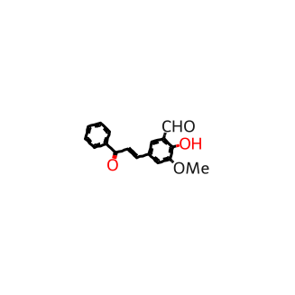 COc1cc(/C=C/C(=O)c2ccccc2)cc(C=O)c1O